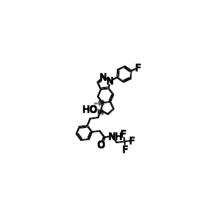 C[C@]12Cc3cnn(-c4ccc(F)cc4)c3C=C1CC[C@@]2(O)CCc1ccccc1CC(=O)NCC(F)(F)F